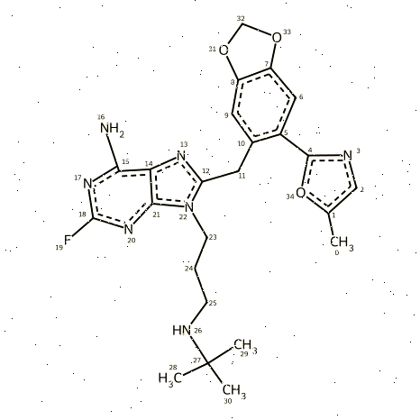 Cc1cnc(-c2cc3c(cc2Cc2nc4c(N)nc(F)nc4n2CCCNC(C)(C)C)OCO3)o1